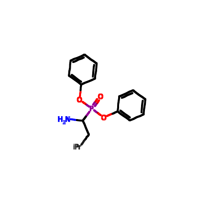 CC(C)CC(N)P(=O)(Oc1ccccc1)Oc1ccccc1